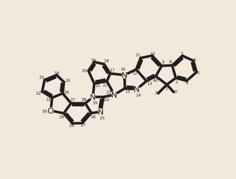 CC1(C)c2ccccc2-c2ccc3c(nc4n3c3cccc5c3n4c3nc4ccc6oc7ccccc7c6c4n53)c21